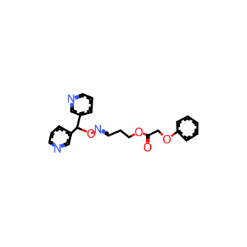 O=C(COc1ccccc1)OCCC=NOC(c1cccnc1)c1cccnc1